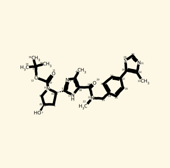 Cc1nc([C@@H]2C[C@@H](O)CN2C(=O)OC(C)(C)C)[nH]c1C(=O)N(C)Cc1ccc(-c2scnc2C)cc1